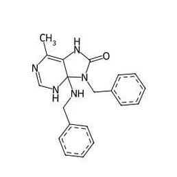 CC1=C2NC(=O)N(Cc3ccccc3)C2(NCc2ccccc2)NC=N1